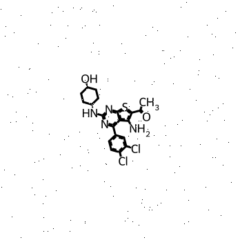 CC(=O)c1sc2nc(N[C@H]3CC[C@H](O)CC3)nc(-c3ccc(Cl)c(Cl)c3)c2c1N